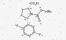 CCOC(=O)[C@H]1CC[C@@H](c2cc(F)ccc2F)N1C(=O)OC(C)(C)C